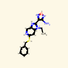 CCn1c(-c2nonc2N)nc2cnc(SCc3ccccc3)cc21